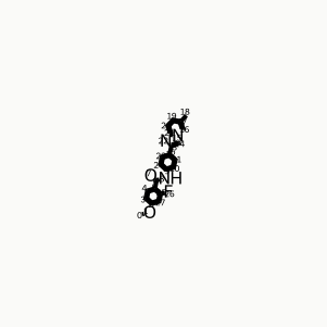 COc1ccc(C(=O)Nc2ccc(-c3cn4cc(C)ccc4n3)cc2)c(F)c1